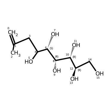 C=C(C)CC(O)[C@H](O)[C@@H](O)[C@H](O)[C@H](O)CO